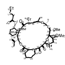 CCSCC(=O)O[C@@H]1CC[C@@H](/C=C(/C)[C@H]2OC(=O)[C@@H]3CCCCN3C(=O)C(=O)[C@]3(O)O[C@H]([C@@H](OC)C[C@@H](C)C/C(C)=C/[C@@H](CC)C(=O)C[C@H](O)[C@H]2C)[C@@H](OC)C[C@H]3C)C[C@H]1OC